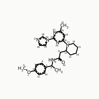 COc1ccc(C(C)NC(=O)CC2CCCCN2c2cc(C)nc(-n3ccnc3)n2)cc1